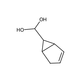 OC(O)C1C2C=CCC21